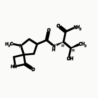 C[C@@H](O)[C@H](NC(=O)C1CN(C)C2(CNC2=O)C1)C(N)=O